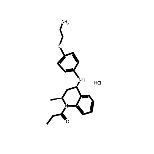 CCC(=O)N1c2ccccc2[C@H](Nc2ccc(SCCN)cc2)C[C@@H]1C.Cl